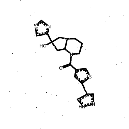 O=C(c1csc(-c2cn[nH]c2)c1)N1CCCC2CC(O)(c3cscn3)CC21